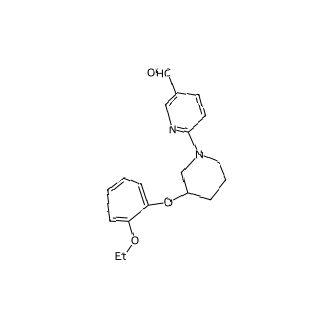 CCOc1ccccc1OC1CCCN(c2ccc(C=O)cn2)C1